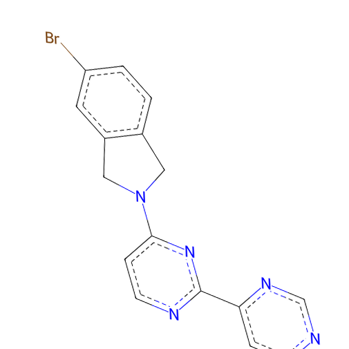 Brc1ccc2c(c1)CN(c1ccnc(-c3ccncn3)n1)C2